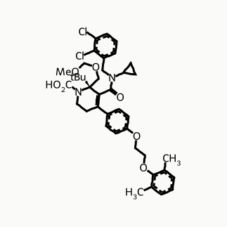 COCOC[C@]1(C(C)(C)C)C(C(=O)N(Cc2cccc(Cl)c2Cl)C2CC2)=C(c2ccc(OCCOc3c(C)cccc3C)cc2)CCN1C(=O)O